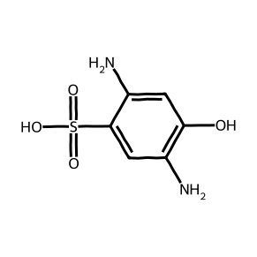 Nc1cc(S(=O)(=O)O)c(N)cc1O